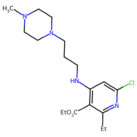 CCOC(=O)c1c(NCCCN2CCN(C)CC2)cc(Cl)nc1CC